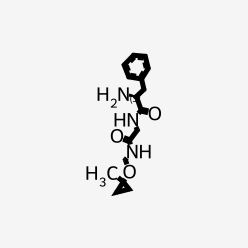 CC1(OCNC(=O)CNC(=O)[C@@H](N)Cc2ccccc2)CC1